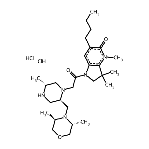 CCCCc1cc2c(n(C)c1=O)C(C)(C)CN2C(=O)CN1C[C@@H](C)NC[C@@H]1CN1[C@H](C)COC[C@H]1C.Cl.Cl